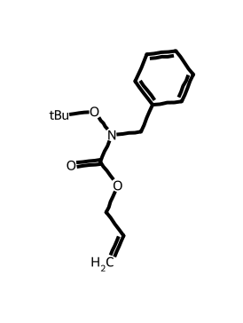 C=CCOC(=O)N(Cc1ccccc1)OC(C)(C)C